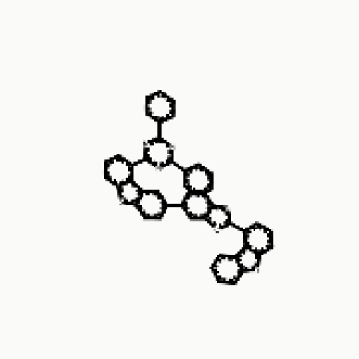 c1ccc(-c2nc(-c3ccccc3)nc(-c3cccc4sc5ccc(-c6ccc7nc(-c8cccc9sc%10ccccc%10c89)oc7c6)cc5c34)n2)cc1